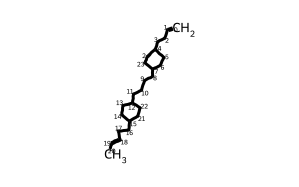 C=CCCC1CCC(CCCCC2CCC(CCC=CC)CC2)CC1